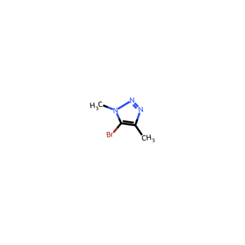 Cc1nnn(C)c1Br